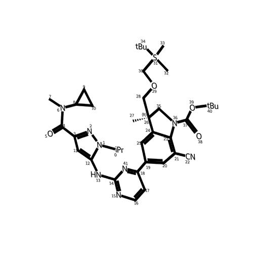 CC(C)n1nc(C(=O)N(C)C2CC2)cc1Nc1nccc(-c2cc(C#N)c3c(c2)[C@@](C)(COCS(C)(C)C(C)(C)C)CN3C(=O)OC(C)(C)C)n1